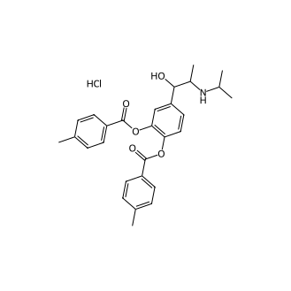 Cc1ccc(C(=O)Oc2ccc(C(O)C(C)NC(C)C)cc2OC(=O)c2ccc(C)cc2)cc1.Cl